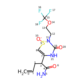 C=CCC(C(N)=O)C1=C[S+]([O-])N(CCOC(F)(F)F)C(=O)N1